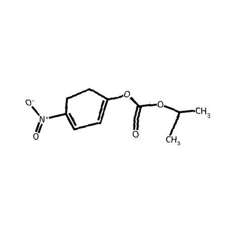 CC(C)OC(=O)OC1=CC=C([N+](=O)[O-])CC1